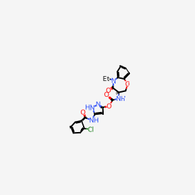 CCN1C(=O)[C@H](NC(=O)Oc2cc(NC(=O)c3ccccc3Cl)[nH]n2)COc2ccccc21